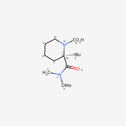 CON(C)C(=O)[C@@]1(C(C)(C)C)CCCCN1C(=O)O